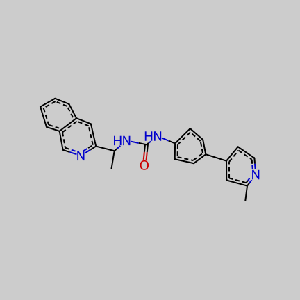 Cc1cc(-c2ccc(NC(=O)NC(C)c3cc4ccccc4cn3)cc2)ccn1